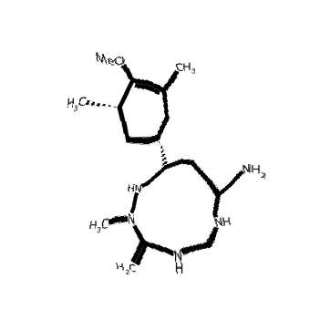 C=C1NCNC(N)CC([C@H]2CC(C)=C(OC)[C@@H](C)C2)NN1C